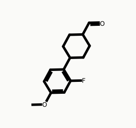 COc1ccc(C2CCC(C=O)CC2)c(F)c1